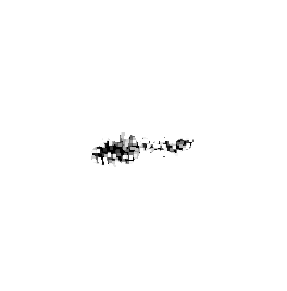 CCc1c2c(nc3ccc(OC(=O)CCC(=O)Oc4ccc5nc6c(c(CC)c5c4)Cn4c-6cc5c(c4=O)COC(=O)C5(O)CC)cc13)-c1cc3c(c(=O)n1C2)COC(=O)C3(O)CC